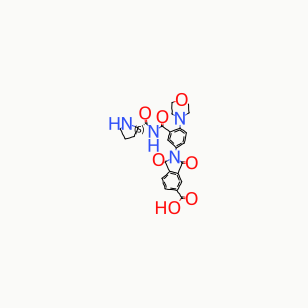 O=C(O)c1ccc2c(c1)C(=O)N(c1ccc(N3CCOCC3)c(C(=O)NC(=O)[C@@H]3CCCN3)c1)C2=O